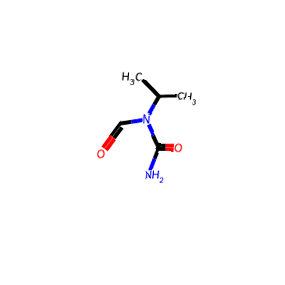 CC(C)N([C]=O)C(N)=O